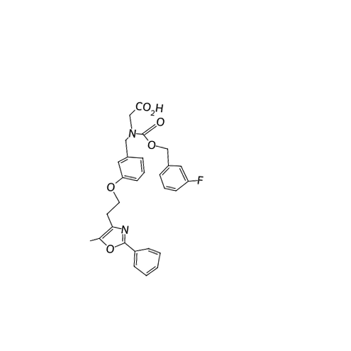 Cc1oc(-c2ccccc2)nc1CCOc1cccc(CN(CC(=O)O)C(=O)OCc2cccc(F)c2)c1